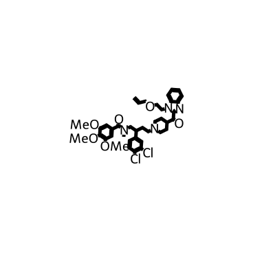 C=CCOCCn1c(C(=O)C2CCN(CCC(CN(C)C(=O)c3cc(OC)c(OC)c(OC)c3)c3ccc(Cl)c(Cl)c3)CC2)nc2ccccc21